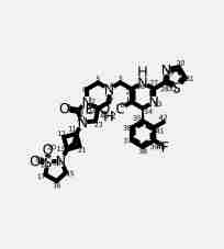 CCOC(=O)C1=C(CN2CCN3C(=O)N(C45CC(N6CCCS6(=O)=O)(C4)C5)C[C@@H]3C2)NC(c2nccs2)=N[C@H]1c1cccc(F)c1C